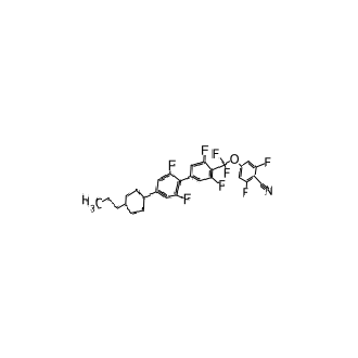 CCCC1CCC(c2cc(F)c(-c3cc(F)c(C(F)(F)Oc4cc(F)c(C#N)c(F)c4)c(F)c3)c(F)c2)CC1